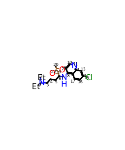 CCN(CC)CCCC(Nc1ccnc2cc(Cl)ccc12)S(C)(=O)=O